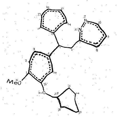 COc1ccc(C(Cc2cccnn2)c2ccccc2)cc1OC1CCCC1